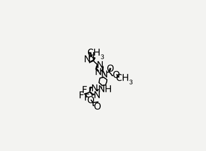 COCC(=O)N(c1cnc(-c2cnn(C)c2)cn1)[C@H]1CC[C@H](Nc2ncc(C(F)(F)F)c(OC3COC3)n2)CC1